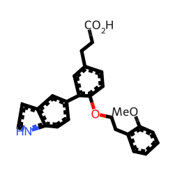 COc1ccccc1CCOc1ccc(CCC(=O)O)cc1-c1ccc2[nH]ccc2c1